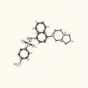 Cc1ccc(S(=O)(=O)Nc2ccc(N3CCN4CCCC4C3)c3ccccc23)cc1